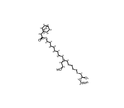 CCCCCCCCCOC(=O)CCCCCCCN(CCO)CCCCCCCCOC(=O)CC12CCC(CC1)CC2